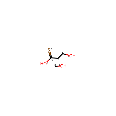 CO.OCCC(O)=S